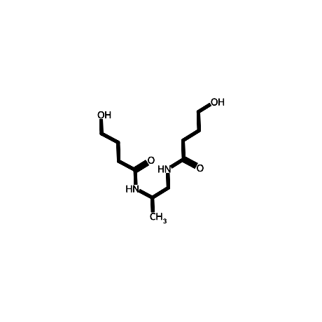 CC(CNC(=O)CCCO)NC(=O)CCCO